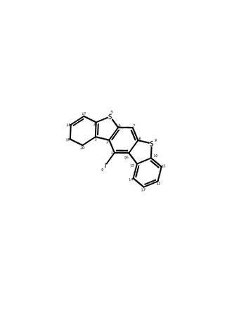 Ic1c2c3c(sc2cc2sc4ccccc4c12)C=CCC3